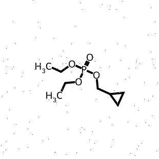 CCOP(=O)(OCC)OCC1CC1